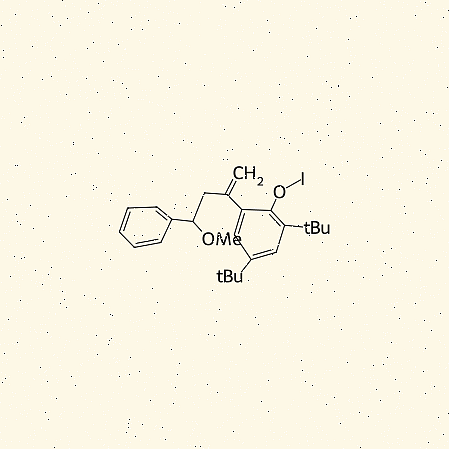 C=C(CC(OC)c1ccccc1)c1cc(C(C)(C)C)cc(C(C)(C)C)c1OI